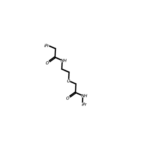 CC(C)CC(=O)NCCOCC(=O)NC(C)C